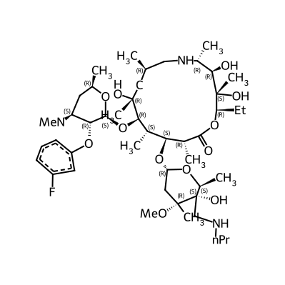 CCCNC[C@]1(O)[C@H](C)O[C@@H](O[C@H]2[C@H](C)[C@@H](O[C@@H]3O[C@H](C)C[C@H](NC)[C@H]3Oc3cccc(F)c3)[C@](C)(O)C[C@@H](C)CN[C@H](C)[C@@H](O)[C@](C)(O)[C@@H](CC)OC(=O)[C@@H]2C)C[C@@]1(C)OC